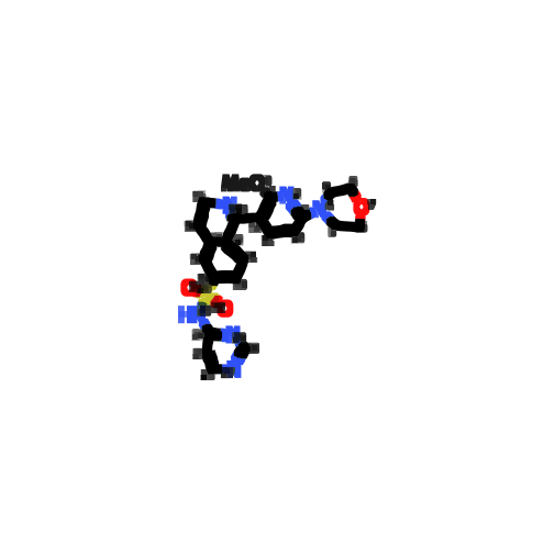 COc1nc(N2CCOCC2)ccc1-c1nccc2cc(S(=O)(=O)Nc3ccncn3)ccc12